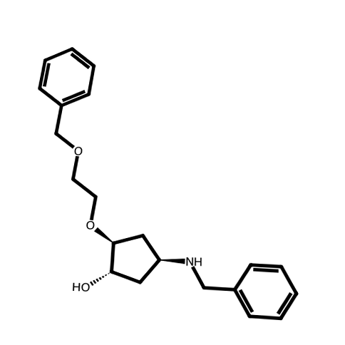 O[C@H]1C[C@H](NCc2ccccc2)C[C@@H]1OCCOCc1ccccc1